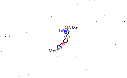 CNC(=O)C1C=CC(c2nc3cc(OCc4ccc(OC)cn4)ccc3o2)=C[N+]1=N